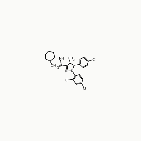 C[C@@H]1C(C(=O)N[C@H]2CCCC[C@@H]2O)=NN(c2ccc(Cl)cc2Cl)[C@@H]1c1ccc(Cl)cc1